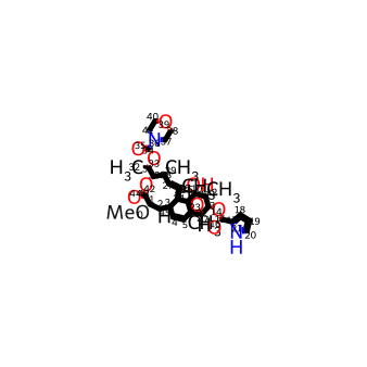 CO[C@H]1C[C@H]2C=C[C@]3(C)[C@H]4[C@H](O)[C@@H](C)[C@@H](OC(=O)c5ccc[nH]5)[C@@H]3O[C@@]24/C(C)=C/[C@@H](C)[C@@H]([C@@H](C)OC(=O)N2CCOCC2)OC1=O